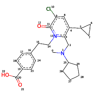 CN(Cc1c(C2CC2)cc(Cl)c(=O)n1CCc1ccc(C(=O)O)cc1)C1CCCC1